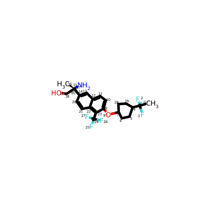 CC(F)(F)C1CCC(Oc2ccc3cc([C@@](C)(N)CO)ccc3c2C(F)(F)F)CC1